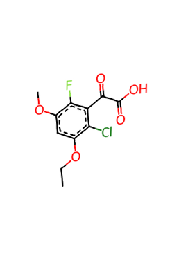 CCOc1cc(OC)c(F)c(C(=O)C(=O)O)c1Cl